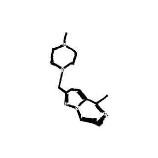 Cc1nccn2nc(CN3CCN(C)CC3)cc12